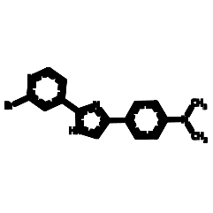 CN(C)c1ccc(-c2c[nH]c(-c3ccnc(Br)c3)n2)cc1